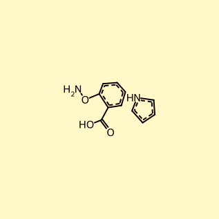 NOc1ccccc1C(=O)O.c1cc[nH]c1